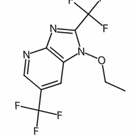 CCOn1c(C(F)(F)F)nc2ncc(C(F)(F)F)cc21